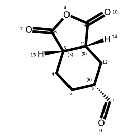 O=C[C@@H]1CC[C@@H]2C(=O)OC(=O)[C@@H]2C1